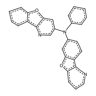 c1ccc(N(c2ccc3c(c2)oc2cccnc23)c2cnc3c(c2)oc2ccccc23)cc1